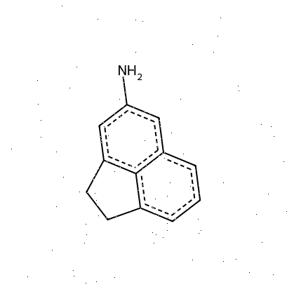 Nc1cc2c3c(cccc3c1)CC2